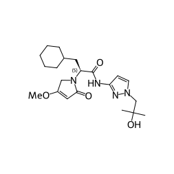 COC1=CC(=O)N([C@@H](CC2CCCCC2)C(=O)Nc2ccn(CC(C)(C)O)n2)C1